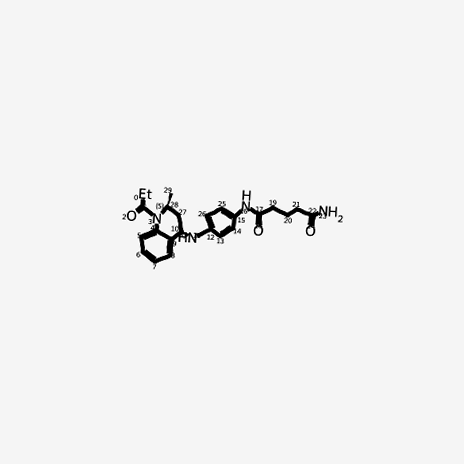 CCC(=O)N1c2ccccc2[C@H](Nc2ccc(NC(=O)CCCC(N)=O)cc2)C[C@@H]1C